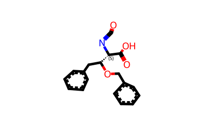 O=C=N[C@H](C(=O)O)C(Cc1ccccc1)OCc1ccccc1